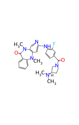 CN1C(=O)c2ccccc2N(C)c2cc(Nc3ccc(C(=O)N4CC[C@@H](N(C)C)C4)cc3F)ncc21